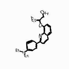 CCC(CO)Oc1cccc2ccc(-c3ccc(N(CC)CC)cc3)nc12